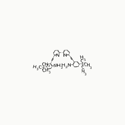 CC(C)(C)c1ccc(N)c(C#Cc2cccc(-c3cccc(C#Cc4cc(C(C)(C)C)ccc4N)n3)n2)c1